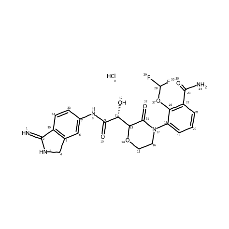 Cl.N=C1NCc2cc(NC(=O)[C@H](O)C3OCCN(c4cccc(C(N)=O)c4OC(F)F)C3=O)ccc21